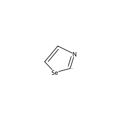 [c]1ncc[se]1